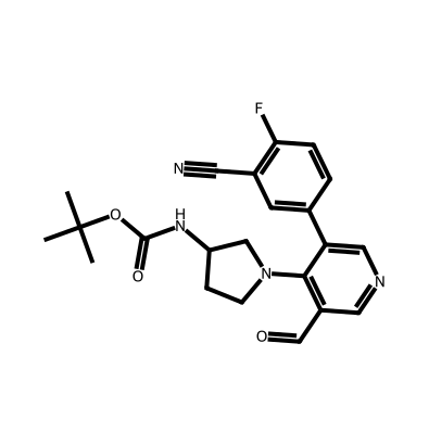 CC(C)(C)OC(=O)NC1CCN(c2c(C=O)cncc2-c2ccc(F)c(C#N)c2)C1